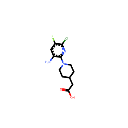 Nc1cc(F)c(Cl)nc1N1CCC(CC(=O)O)CC1